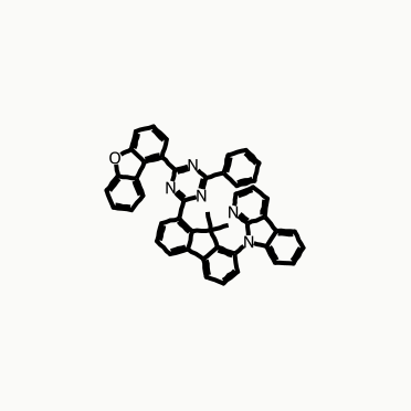 CC1(C)c2c(-c3nc(-c4ccccc4)nc(-c4cccc5oc6ccccc6c45)n3)cccc2-c2cccc(-n3c4ccccc4c4cccnc43)c21